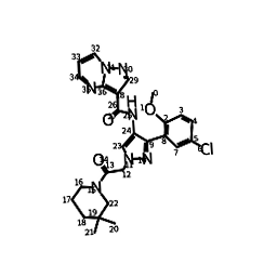 COc1ccc(Cl)cc1-c1nn(CC(=O)N2CCCC(C)(C)C2)cc1NC(=O)c1cnn2cccnc12